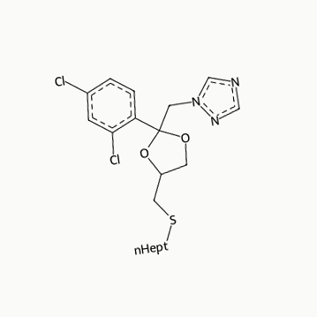 CCCCCCCSCC1COC(Cn2cncn2)(c2ccc(Cl)cc2Cl)O1